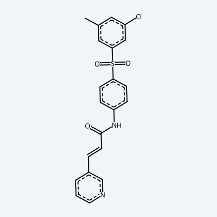 Cc1cc(Cl)cc(S(=O)(=O)c2ccc(NC(=O)/C=C/c3cccnc3)cc2)c1